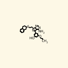 C=CCOc1cc(O)cc(-c2nn(CCSC3CCc4ccccc4C3)c3ncnc(N)c23)c1